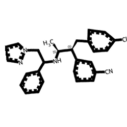 C[C@H](NC(Cn1cccn1)c1ccccc1)[C@@H](Cc1ccc(Cl)cc1)c1cccc(C#N)c1